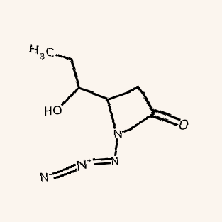 CCC(O)C1CC(=O)N1N=[N+]=[N-]